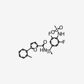 Cc1ccccc1-c1ccc(C(=O)N[C@H](C)c2cc(F)c(NS(C)(=O)=O)c(F)c2)o1